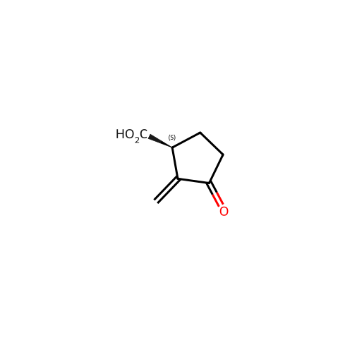 C=C1C(=O)CC[C@@H]1C(=O)O